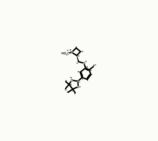 CC1(C)OB(c2ccc(F)c(OC[C@@H]3CCN3C(=O)O)c2)OC1(C)C